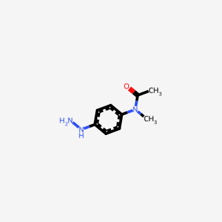 CC(=O)N(C)c1ccc(NN)cc1